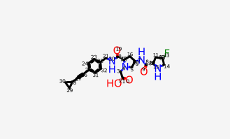 O=C(O)CN1C[C@H](NC(=O)[C@@H]2C[C@H](F)CN2)C[C@@H]1C(=O)NCc1ccc(C#CC2CC2)cc1